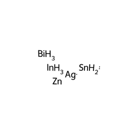 [Ag].[BiH3].[InH3].[SnH2].[Zn]